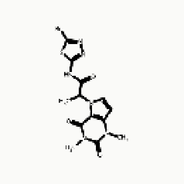 CC(C(=O)Nc1nnc(Br)s1)n1ccc2c1c(=O)n(C)c(=O)n2C